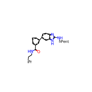 CCCCCNc1nc2ccc(-c3cccc(C(=O)NCCC(C)C)c3)cc2[nH]1